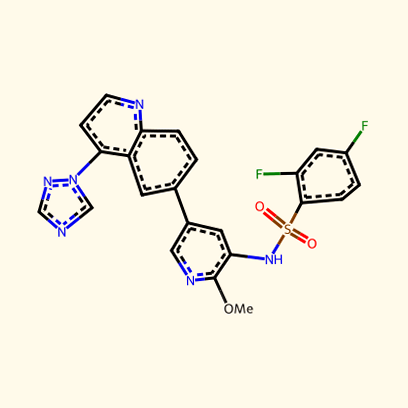 COc1ncc(-c2ccc3nccc(-n4cncn4)c3c2)cc1NS(=O)(=O)c1ccc(F)cc1F